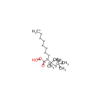 CCCCCCCCC(C(=O)OO)C(C)(C)CC(C)(C)C